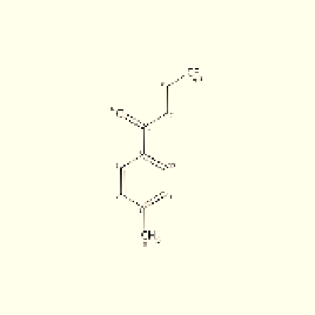 Cc1ccc(C(=O)CCC(F)(F)F)cc1